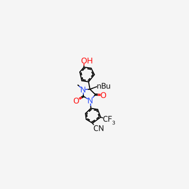 CCCCC1(c2ccc(O)cc2)C(=O)N(c2ccc(C#N)c(C(F)(F)F)c2)C(=O)N1C